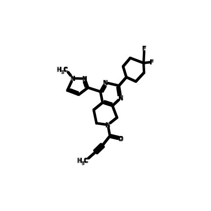 CC#CC(=O)N1CCc2c(nc(C3CCC(F)(F)CC3)nc2-c2ccn(C)n2)C1